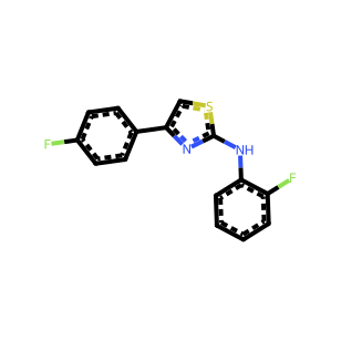 Fc1ccc(-c2csc(Nc3ccccc3F)n2)cc1